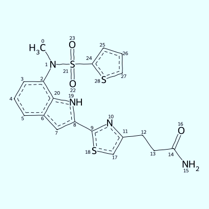 CN(c1cccc2cc(-c3nc(CCC(N)=O)cs3)[nH]c12)S(=O)(=O)c1cccs1